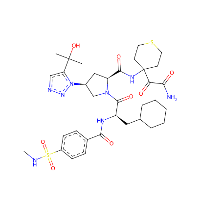 CNS(=O)(=O)c1ccc(C(=O)N[C@H](CC2CCCCC2)C(=O)N2C[C@@H](n3nncc3C(C)(C)O)C[C@H]2C(=O)NC2(C(=O)C(N)=O)CCSCC2)cc1